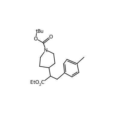 CCOC(=O)C(Cc1ccc(C)cc1)C1CCN(C(=O)OC(C)(C)C)CC1